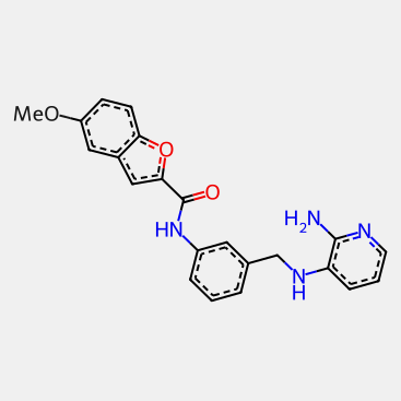 COc1ccc2oc(C(=O)Nc3cccc(CNc4cccnc4N)c3)cc2c1